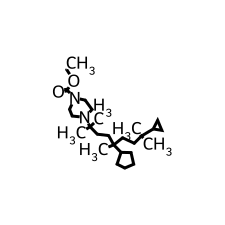 CCOC(=O)N1CCN(C(C)(C)CCC(C)(CCC(C)(C)C2CC2)C2CCCC2)CC1